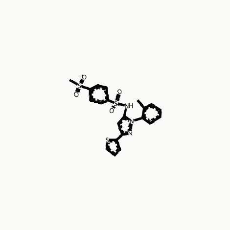 Cc1ccccc1-n1nc(-c2cccs2)cc1NS(=O)(=O)c1ccc(S(C)(=O)=O)cc1